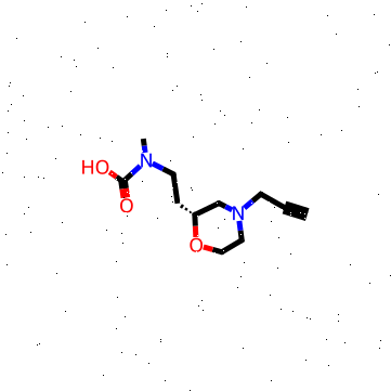 C#CCN1CCO[C@H](CCN(C)C(=O)O)C1